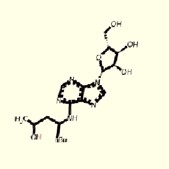 CCCCC(CC(C)O)Nc1ncnc2c1ncn2[C@@H]1O[C@H](CO)[C@@H](O)[C@H]1O